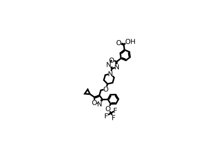 O=C(O)c1cccc(-c2nc(N3CCC(OCc4c(-c5ccccc5OC(F)(F)F)noc4C4CC4)CC3)no2)c1